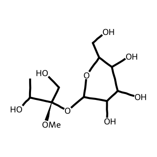 CO[C@@](CO)(OC1OC(CO)C(O)C(O)C1O)C(C)O